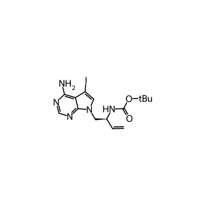 C=C[C@@H](Cn1cc(I)c2c(N)ncnc21)NC(=O)OC(C)(C)C